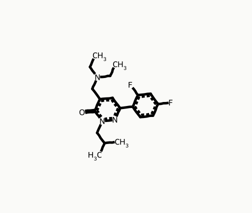 CCN(CC)Cc1cc(-c2ccc(F)cc2F)nn(CC(C)C)c1=O